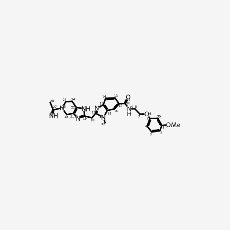 COc1cccc(OCCNC(=O)c2ccc3nc(Cc4nc5c([nH]4)CCN(C(C)=N)C5)n(C)c3c2)c1